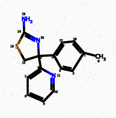 Cc1ccc(C2(c3ccccn3)CSC(N)=N2)cc1